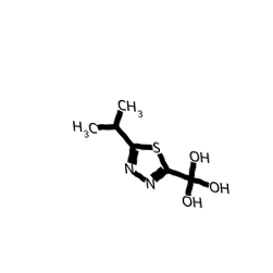 CC(C)c1nnc(C(O)(O)O)s1